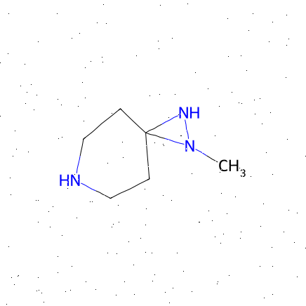 CN1NC12CCNCC2